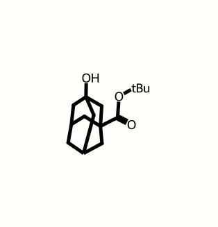 CC(C)(C)OC(=O)C12CC3CC(CC(O)(C3)C1)C2